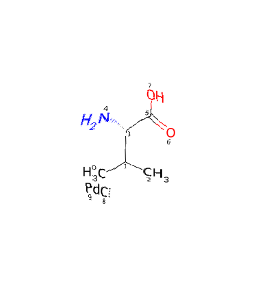 CC(C)[C@H](N)C(=O)O.[C].[Pd]